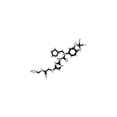 CCOC(=O)CSc1cnc(NC(=O)N(CC2CCCC2)c2ccc3c(c2)OC(F)(F)O3)s1